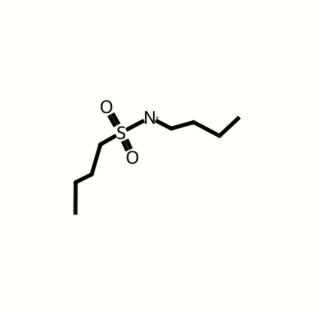 CCCC[N]S(=O)(=O)CCCC